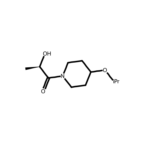 CC(C)OC1CCN(C(=O)[C@@H](C)O)CC1